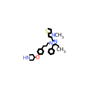 CCc1nc(-c2cc3sccc3n2C)n(CCCc2ccc(OC3CCNCC3)cc2)c1-c1ccccc1